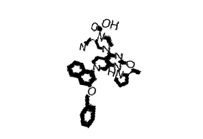 CC(Oc1nc2c(c(N3CCN(C(=O)O)[C@@H](CC#N)C3)n1)CCN(c1cc(OCc3ccccc3)cc3ccccc13)C2)[C@H]1CCCN1